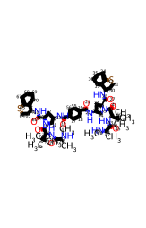 CN[C@@H](C)C(=O)N[C@H](C(=O)N1C[C@@H](NC(=O)c2ccc(C(=O)N[C@H]3C[C@@H](C(=O)N[C@@H]4CCSc5ccccc54)N(C(=O)[C@@H](NC(=O)[C@H](C)NC)C(C)(C)C)C3)cc2)C[C@H]1C(=O)N[C@@H]1CCSc2ccccc21)C(C)(C)C